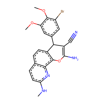 CNc1ccc2ccc3c(c2n1)OC(N)=C(C#N)C3c1cc(Br)c(OC)c(OC)c1